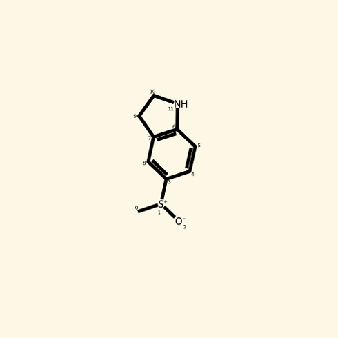 C[S+]([O-])c1ccc2c(c1)CCN2